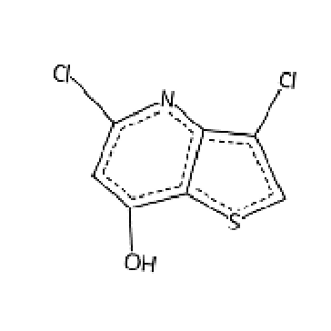 Oc1cc(Cl)nc2c(Cl)csc12